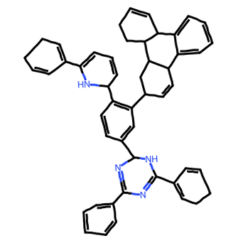 C1=CC(c2ccc(C3N=C(c4ccccc4)N=C(C4=CCCC=C4)N3)cc2C2C=CC3c4ccccc4C4C=CCCC4C3C2)NC(C2=CCCC=C2)=C1